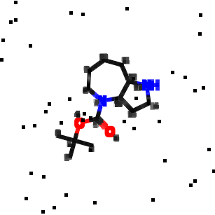 CC(C)(C)OC(=O)N1CCCCC2NCCC21